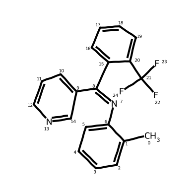 Cc1ccccc1N=C(c1cccnc1)c1ccccc1C(F)(F)F